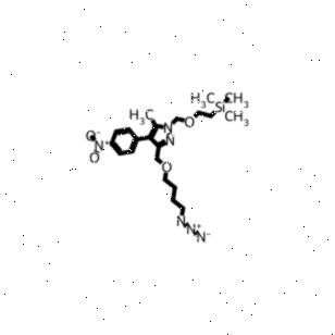 Cc1c(-c2ccc([N+](=O)[O-])cc2)c(COCCCCN=[N+]=[N-])nn1COCC[Si](C)(C)C